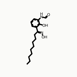 CCCCCCCCCC(=NO)c1cccc(NC=O)c1O